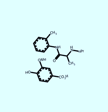 CCCNC(C)C(=O)Nc1ccccc1C.COc1cc(C(=O)O)ccc1O